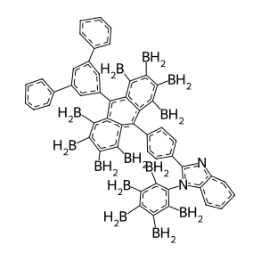 Bc1c(B)c(B)c(-n2c(-c3ccc(-c4c5c(B)c(B)c(B)c(B)c5c(-c5cc(-c6ccccc6)cc(-c6ccccc6)c5)c5c(B)c(B)c(B)c(B)c45)cc3)nc3ccccc32)c(B)c1B